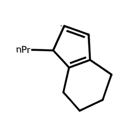 CCCC1[C]=CC2=C1CCCC2